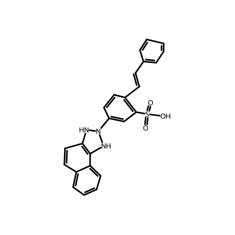 O=S(=O)(O)c1cc(N2Nc3ccc4ccccc4c3N2)ccc1C=Cc1ccccc1